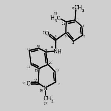 Cc1cccc(C(=O)Nc2cccc3c(=O)n(C)ccc23)c1C